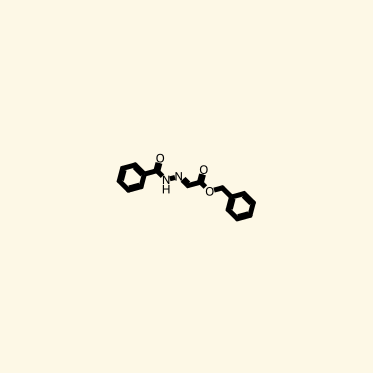 O=C(C=NNC(=O)c1ccccc1)OCc1ccccc1